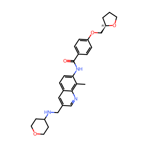 Cc1c(NC(=O)c2ccc(OC[C@H]3CCCO3)cc2)ccc2cc(CNC3CCOCC3)cnc12